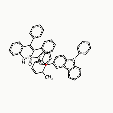 CC1C=CC=C(c2ccccc2C2=C(c3ccccc3)c3ccccc3N[SH]2(=O)c2ccccc2)C1c1ccc2c(c1)c1ccccc1n2-c1ccccc1